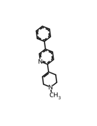 CN1CC=C(c2ccc(-c3ccccc3)cn2)CC1